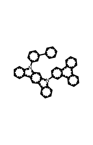 c1ccc(-c2cccc(-n3c4ccccc4c4cc5c6ccccc6n(-c6ccc7c8ccccc8c8ccccc8c7c6)c5cc43)c2)cc1